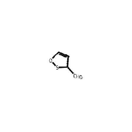 O=[C]C1C=COS1